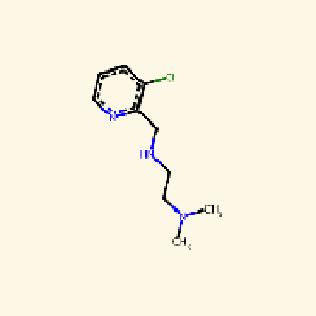 CN(C)CCNCc1ncccc1Cl